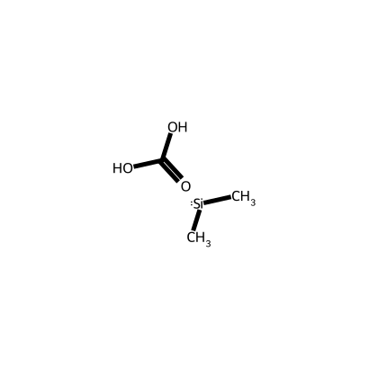 C[Si]C.O=C(O)O